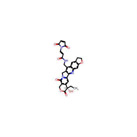 CC[C@@]1(O)C(=O)OCc2c1cc1n(c2=O)Cc2c-1nc1cc3c(cc1c2CNC(=O)C=CN1C(=O)C=CC1=O)CCO3